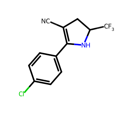 N#CC1=C(c2ccc(Cl)cc2)NC(C(F)(F)F)C1